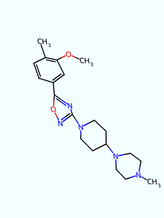 COc1cc(-c2nc(N3CCC(N4CCN(C)CC4)CC3)no2)ccc1C